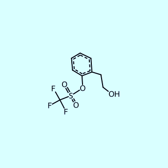 O=S(=O)(Oc1ccccc1CCO)C(F)(F)F